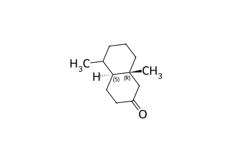 CC1CCC[C@]2(C)CC(=O)CC[C@@H]12